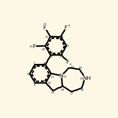 Fc1cc(F)c(-c2cccc3c2N2CCNCCC2C3)c(F)c1F